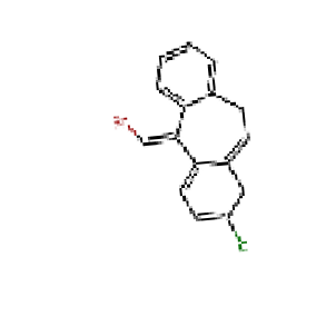 ClC1=CC=C2C(=CCc3ccccc3/C2=C\Br)C1